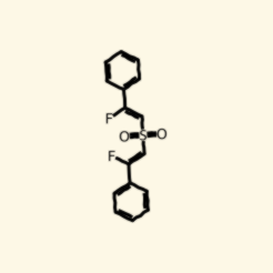 O=S(=O)(C=C(F)c1ccccc1)C=C(F)c1ccccc1